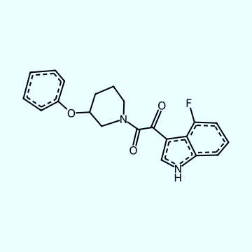 O=C(C(=O)N1CCCC(Oc2ccccc2)C1)c1c[nH]c2cccc(F)c12